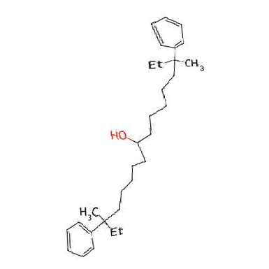 CCC(C)(CCCCCC(O)CCCCCC(C)(CC)c1ccccc1)c1ccccc1